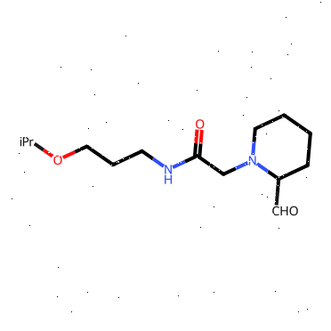 CC(C)OCCCNC(=O)CN1CCCCC1C=O